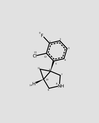 Fc1cccc([C@@]23CNC[C@@H]2C3)c1Cl